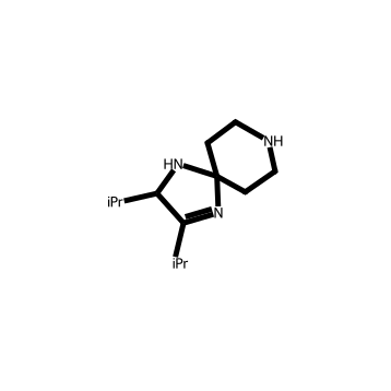 CC(C)C1=NC2(CCNCC2)NC1C(C)C